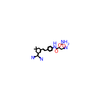 CC1(C)CC(/C=C/c2ccc(NC(=O)C(CC#N)OC(N)=O)cc2)=CC(=C(C#N)C#N)C1